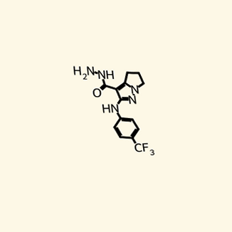 NNC(=O)c1c(Nc2ccc(C(F)(F)F)cc2)nn2c1CCC2